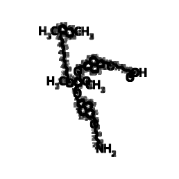 COc1cc(COCc2cc3ccc4cc(COCCCCCCN)cc5ccc(c2)c3c45)c(OC(C)C/C=C/CCCCCCCCCc2c(C)ccc3cc(C)ccc23)cc1COCc1cc2ccc3cc(COCCCCCC(=O)O)cc4ccc(c1)c2c34